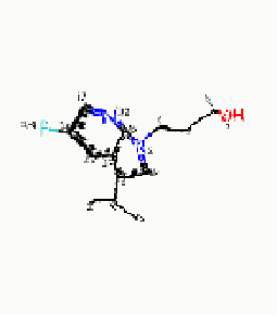 CC(C)c1cn(CCCO)c2ncc(F)cc12